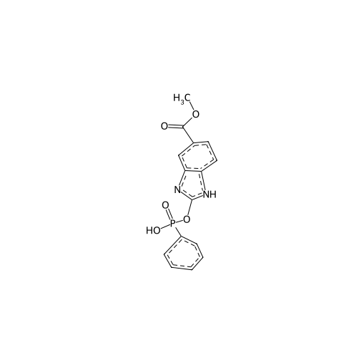 COC(=O)c1ccc2[nH]c(OP(=O)(O)c3ccccc3)nc2c1